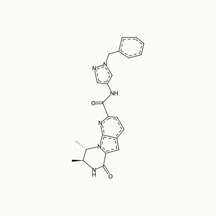 C[C@@H]1NC(=O)c2cc3ccc(C(=O)Nc4cnn(Cc5ccccc5)c4)nc3n2[C@H]1C